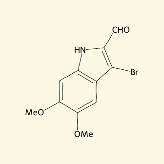 COc1cc2[nH]c(C=O)c(Br)c2cc1OC